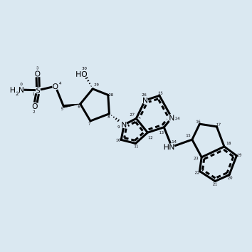 NS(=O)(=O)OC[C@@H]1C[C@@H](n2ccc3c(NC4CCc5ccccc54)ncnc32)C[C@H]1O